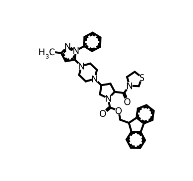 Cc1cc(N2CCN(C3CC(C(=O)N4CCSC4)N(C(=O)OCC4c5ccccc5-c5ccccc54)C3)CC2)n(-c2ccccc2)n1